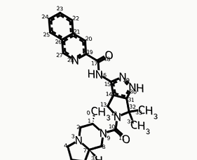 C[C@H]1CN2CCC[C@H]2CN1C(=O)N1Cc2c(NC(=O)c3cc4ccccc4cn3)n[nH]c2C1(C)C